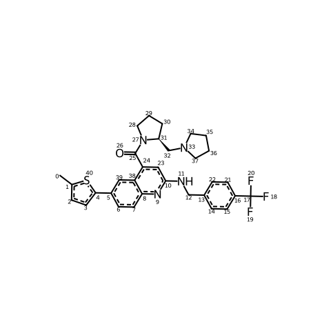 Cc1ccc(-c2ccc3nc(NCc4ccc(C(F)(F)F)cc4)cc(C(=O)N4CCC[C@H]4CN4CCCC4)c3c2)s1